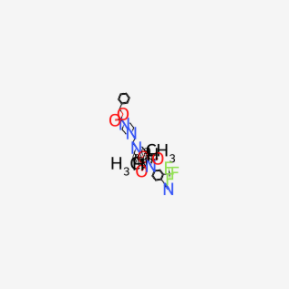 C[C@]12CN(CCN3CCN(C(=O)OCc4ccccc4)CC3)C[C@](C)(O1)[C@H]1C(=O)N(c3ccc(C#N)c(C(F)(F)F)c3)C(=O)[C@H]12